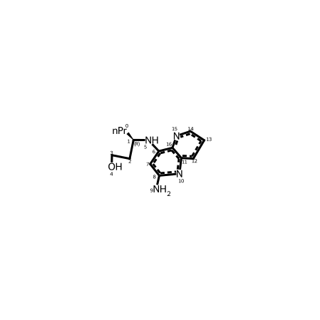 CCC[C@H](CCO)Nc1cc(N)nc2cccnc12